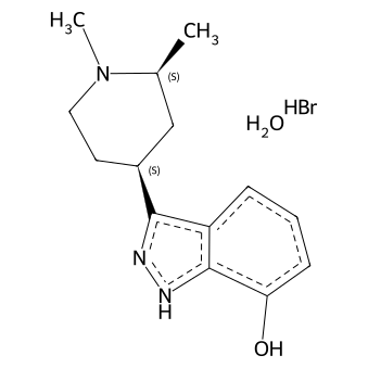 Br.C[C@H]1C[C@@H](c2n[nH]c3c(O)cccc23)CCN1C.O